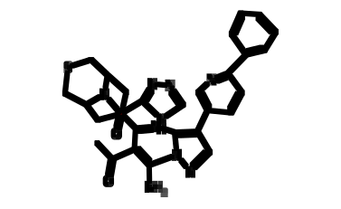 CC(=O)c1c(C2CC3CSCC(C2)N3C(=O)c2nnc[nH]2)nc2c(-c3ccc(-c4ccccc4)nc3)cnn2c1N